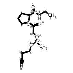 CCN[13C](=O)C1CCCN1C(=O)COP(C)OCCC#N